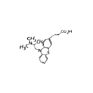 CC(CN1c2ccccc2Sc2cc(C=CC(=O)O)ccc21)N(C)C